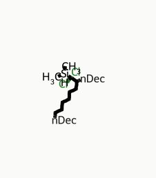 CCCCCCCCCCCCCCCCC(CCCCCCCCCC)C(Cl)(Cl)[SiH](C)C